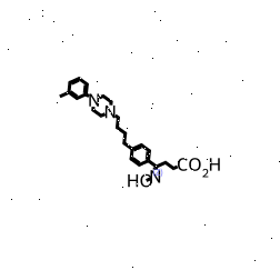 Cc1cccc(N2CCN(CCCCc3ccc(/C(CCC(=O)O)=N\O)cc3)CC2)c1